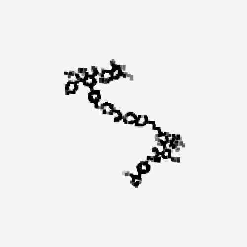 CCN(c1cc(-c2ccc(CN3CCN(CC(=O)N4CCC5(CCN(CCCC(=O)N[C@H](C(=O)N6C[C@H](O)C[C@H]6C(=O)NCc6ccc(-c7scnc7C)cc6)C(C)(C)C)CC5)CC4)CC3)cc2)cc(C(=O)NCc2c(C)cc(C)[nH]c2=O)c1C)C1CCOCC1